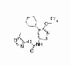 Cc1ocnc1OC(=O)Nc1cnc(OCC(F)(F)F)c(C2CCCCC2)c1